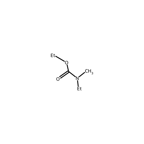 [CH2]COC(=O)N(C)CC